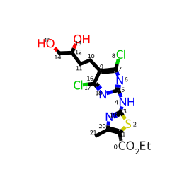 CCOC(=O)c1sc(Nc2nc(Cl)c(CCC(O)CO)c(Cl)n2)nc1C